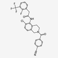 N#Cc1ccc(C(=O)N2CCc3c(ccc(Cl)c3NC(=O)Cc3cccc(C(F)(F)F)c3F)C2)cc1